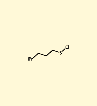 CC(C)CCCSCl